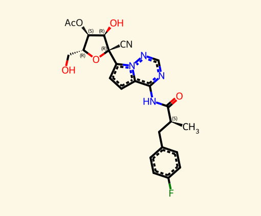 CC(=O)O[C@H]1[C@@H](O)[C@](C#N)(c2ccc3c(NC(=O)[C@@H](C)Cc4ccc(F)cc4)ncnn23)O[C@@H]1CO